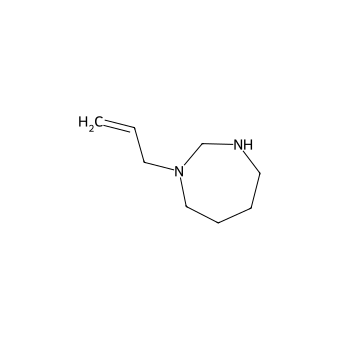 C=CCN1CCCCNC1